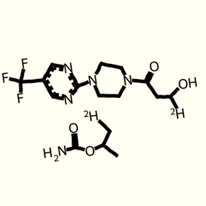 [2H]C(O)CC(=O)N1CCN(c2ncc(C(F)(F)F)cn2)CC1.[2H]CC(C)OC(N)=O